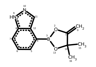 C=C1OB(c2cccc3[nH]ncc23)OC1(C)C